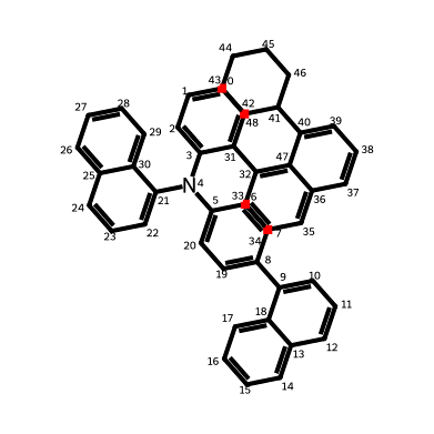 c1ccc(N(c2ccc(-c3cccc4ccccc34)cc2)c2cccc3ccccc23)c(-c2cccc3cccc(C4CCCCC4)c23)c1